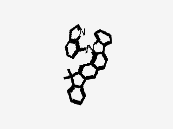 CC1(C)c2ccccc2-c2cc3ccc4c5ccccc5n(-c5cccc6c5N=CC6)c4c3cc21